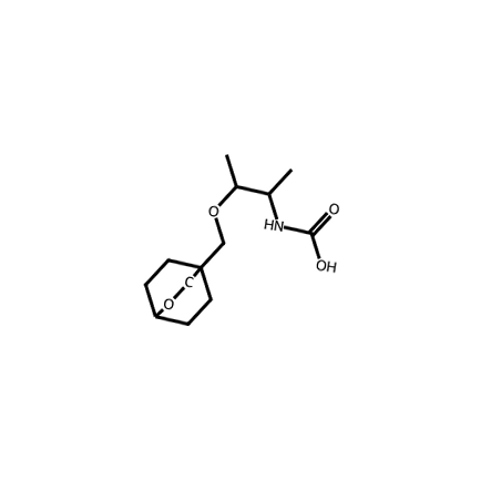 CC(NC(=O)O)C(C)OCC12CCC(CC1)OC2